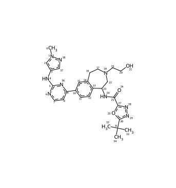 Cn1cc(Nc2nccc(-c3ccc4c(c3)CCN(CCO)CC4NC(=O)c3nnc(C(C)(C)C)o3)n2)cn1